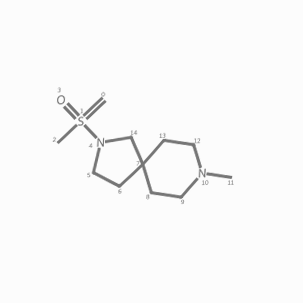 C=S(C)(=O)N1CCC2(CCN(C)CC2)C1